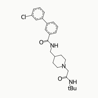 CC(C)(C)NC(=O)CN1CCC(CNC(=O)c2cccc(-c3cccc(Cl)c3)c2)CC1